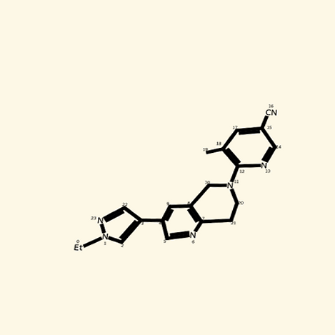 CCn1cc(-c2cnc3c(c2)CN(c2ncc(C#N)cc2C)CC3)cn1